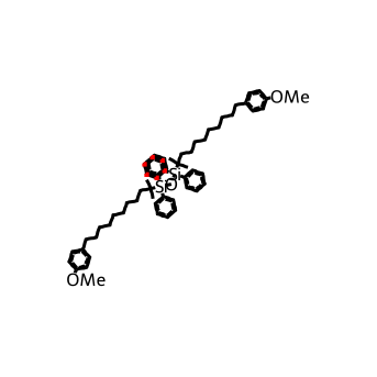 COc1ccc(CCCCCCCCCC(C)(C)[Si](O[Si](c2ccccc2)(c2ccccc2)C(C)(C)CCCCCCCCCc2ccc(OC)cc2)(c2ccccc2)c2ccccc2)cc1